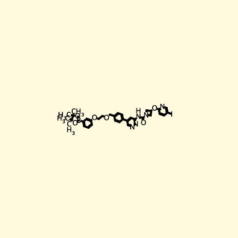 CC1(C)OB(c2cccc(OCCOCc3ccc(-c4cnnc(NC(=O)N5CC(Oc6ccc(I)cn6)C5)c4)cc3)c2)OC1(C)C